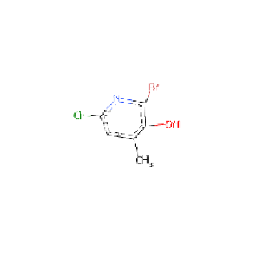 Cc1cc(Cl)nc(Br)c1O